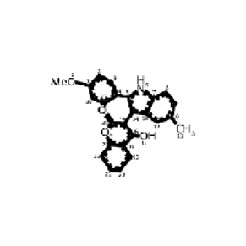 COc1ccc(-c2[nH]c3ccc(C)cc3c2-c2c(O)c3ccccc3oc2=O)cc1